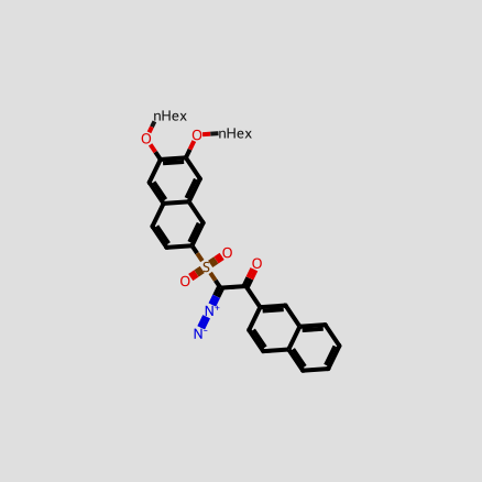 CCCCCCOc1cc2ccc(S(=O)(=O)C(=[N+]=[N-])C(=O)c3ccc4ccccc4c3)cc2cc1OCCCCCC